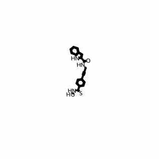 O=C(NCC#Cc1ccc(C(=S)NO)cc1)c1cc2ccccc2[nH]1